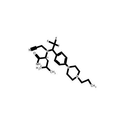 CCCN1CCN(c2ccc(C(N(CC#N)[C@@H](CC(C)C)C(N)=O)C(F)(F)F)cc2)CC1